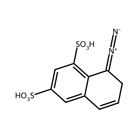 [N-]=[N+]=C1CC=Cc2cc(S(=O)(=O)O)cc(S(=O)(=O)O)c21